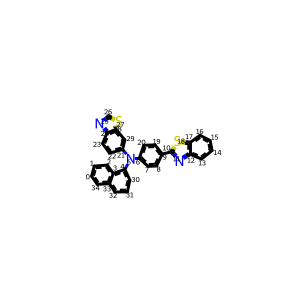 c1ccc2c(N(c3ccc(-c4nc5ccccc5s4)cc3)c3ccc4ncsc4c3)cccc2c1